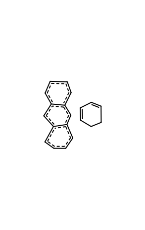 C1=CCCC=C1.c1ccc2cc3ccccc3cc2c1